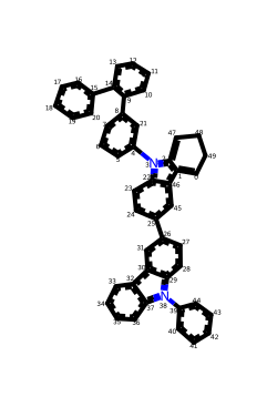 C1=c2c(n(-c3cccc(-c4ccccc4-c4ccccc4)c3)c3ccc(-c4ccc5c(c4)c4ccccc4n5-c4ccccc4)cc23)=CCC1